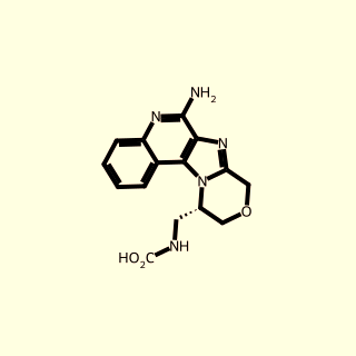 Nc1nc2ccccc2c2c1nc1n2[C@@H](CNC(=O)O)COC1